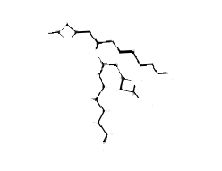 CCCCCCCC(CC1CC(C)O1)OC(CCCCCCC)CC1CC(C)O1